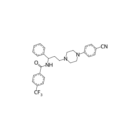 N#Cc1ccc(N2CCN(CCC(NC(=O)c3ccc(C(F)(F)F)cc3)c3ccccc3)CC2)cc1